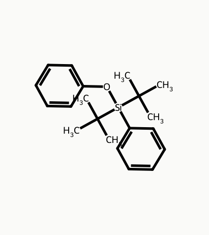 CC(C)(C)[Si](Oc1ccccc1)(c1ccccc1)C(C)(C)C